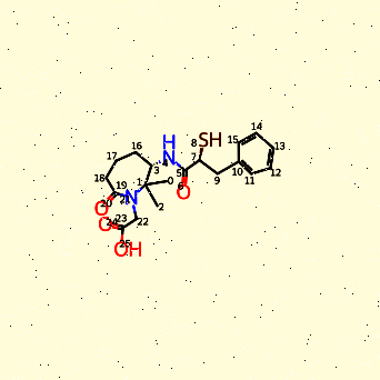 CC1(C)[C@@H](NC(=O)[C@@H](S)Cc2ccccc2)CCCC(=O)N1CC(=O)O